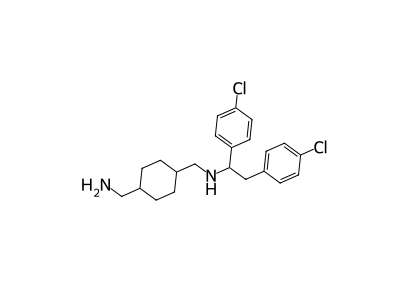 NCC1CCC(CNC(Cc2ccc(Cl)cc2)c2ccc(Cl)cc2)CC1